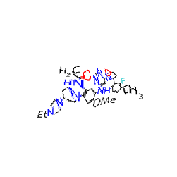 C=CC(=O)Nc1cc(Nc2cc(N3OCC[C@@H]3c3cccc(C)c3F)ncn2)c(OC)cc1N1CCC(N2CCN(CC)CC2)CC1